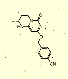 CC1CCn2c(cc(OCc3ccc(C#N)cc3)nc2=O)N1